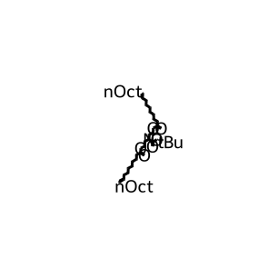 CCCCCCCCC=CCCCCCCCC(=O)OCCN(CCOC(=O)CCCCCCCC=CCCCCCCCC)C(=O)OC(C)(C)C